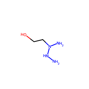 NNN(N)CCO